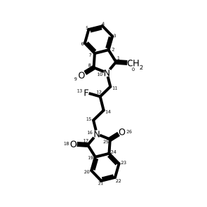 C=C1c2ccccc2C(=O)N1CC(F)CCN1C(=O)c2ccccc2C1=O